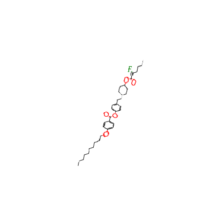 CCCCCCCCCCOc1ccc(C(=O)Oc2ccc(CC[C@H]3CC[C@H](OC(=O)[C@@H](F)CCCC)CC3)cc2)cc1